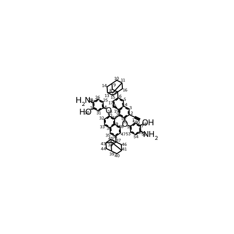 C#Cc1cc2cc(C34CC5CC(CC(C5)C3)C4)ccc2c(-c2c(Oc3ccc(N)c(O)c3)ccc3cc(C45CC6CC(CC(C6)C4)C5)ccc23)c1Oc1ccc(N)c(O)c1